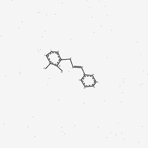 Cc1cccc(CC=Cc2ccccc2)c1C